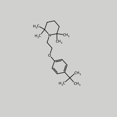 CC(C)(C)c1ccc(OCCN2C(C)(C)CCCC2(C)C)cc1